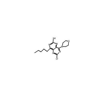 CCCCCc1nc(S)nc2c(N3CCOCC3)nc(Cl)nc12